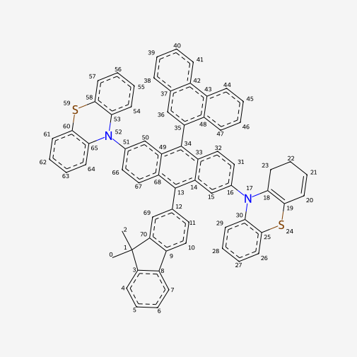 CC1(C)c2ccccc2-c2ccc(-c3c4cc(N5C6=C(C=CCC6)Sc6ccccc65)ccc4c(-c4cc5ccccc5c5ccccc45)c4cc(N5c6ccccc6Sc6ccccc65)ccc34)cc21